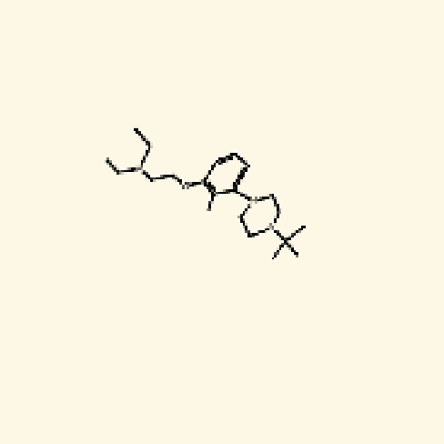 CCN(CC)CCOc1cccc(N2CCN(C(C)(C)C)CC2)c1C